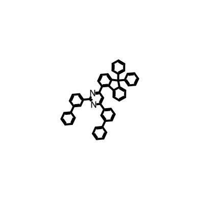 c1ccc(-c2cccc(-c3cc(-c4cccc5c4-c4ccccc4C5(c4ccccc4)c4ccccc4)nc(-c4cccc(-c5ccccc5)c4)n3)c2)cc1